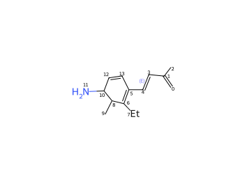 C=C(C)/C=C/C1=C(CC)C(C)C(N)C=C1